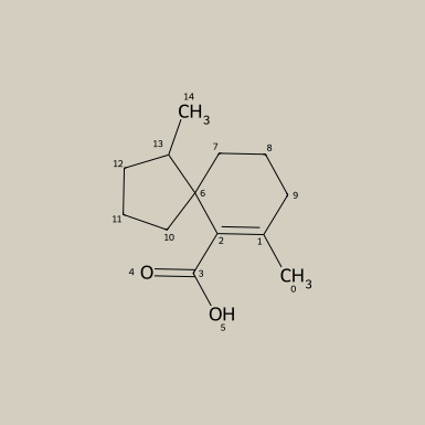 CC1=C(C(=O)O)C2(CCC1)CCCC2C